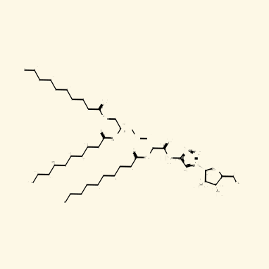 CCCCCCCCCC(=O)N[C@H](CSC[C@@H](COC(=O)CCCCCCCCC)OC(=O)CCCCCCCCC)C(=O)Nc1cn([C@H]2OC(CO)[C@@H](O)[C@H]2O)nn1